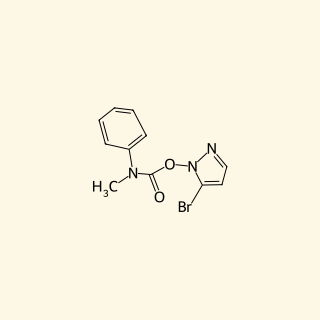 CN(C(=O)On1nccc1Br)c1ccccc1